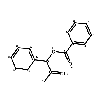 CC(=O)C(OC(=O)c1ccccc1)C1=CC=CCC1